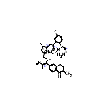 C=N/C(C)=C(\NCC1C[C@@H](C)/C(=C/C(=C\C=O)c2cc(Cl)ccc2N(N)/C=N\N)N1C)c1ccc2c(c1)CCC(C(F)(F)F)N2